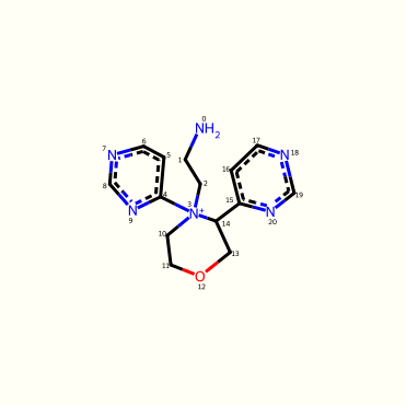 NCC[N+]1(c2ccncn2)CCOCC1c1ccncn1